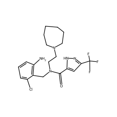 Nc1cccc(Cl)c1CN(CCN1CCCCCC1)C(=O)c1cc(C(F)(F)F)n[nH]1